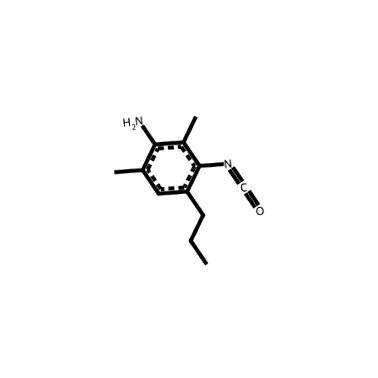 CCCc1cc(C)c(N)c(C)c1N=C=O